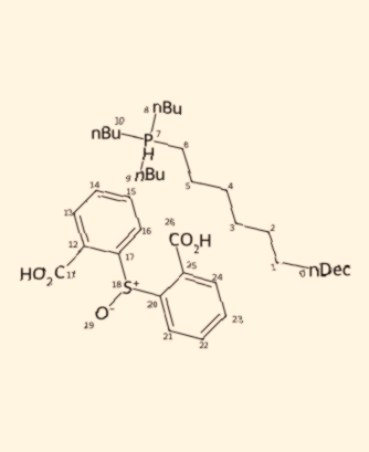 CCCCCCCCCCCCCCCC[PH](CCCC)(CCCC)CCCC.O=C(O)c1ccccc1[S+]([O-])c1ccccc1C(=O)O